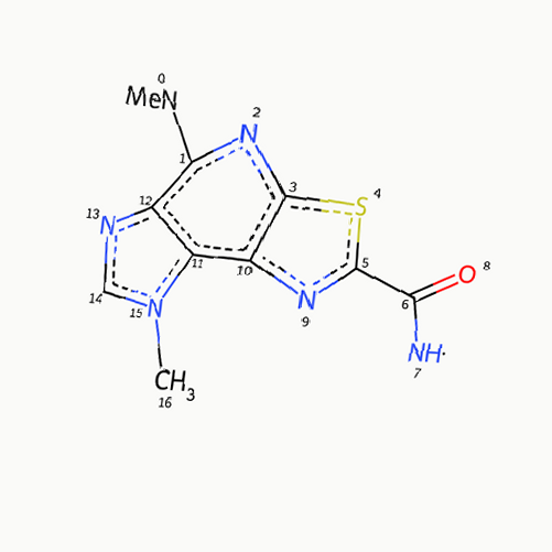 CNc1nc2sc(C([NH])=O)nc2c2c1ncn2C